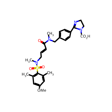 COc1cc(C)c(S(=O)(=O)N(C)C/C=C/C(=O)N(C)Cc2ccc(C3=NCCN3C(=O)O)cc2)c(C)c1